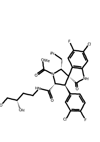 COC(=O)N1[C@@H](C(=O)NCC[C@H](O)CO)[C@H](c2ccc(F)c(Cl)c2)[C@@]2(C(=O)Nc3cc(Cl)c(F)cc32)[C@H]1CC(C)C